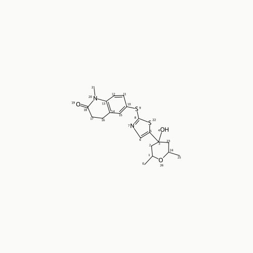 CC1CC(O)(c2cnc(Sc3ccc4c(c3)CCC(=O)N4C)s2)CC(C)O1